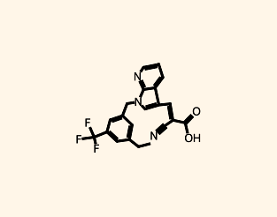 CCc1cc(Cn2cc(/C=C(\C#N)C(=O)O)c3cccnc32)cc(C(F)(F)F)c1